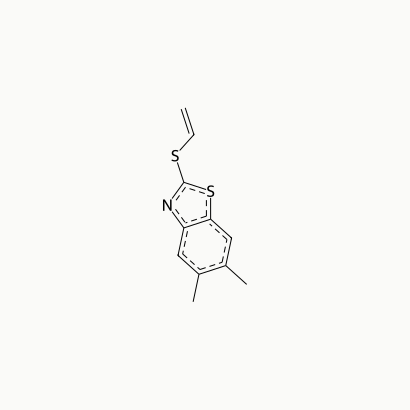 C=CSc1nc2cc(C)c(C)cc2s1